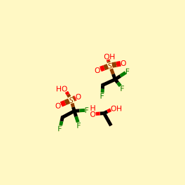 CC(O)O.O=S(=O)(O)C(F)(F)CF.O=S(=O)(O)C(F)(F)CF